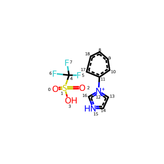 O=S(=O)(O)C(F)(F)F.c1ccc(-[n+]2cc[nH]c2)cc1